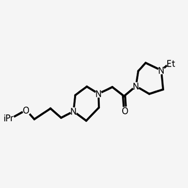 CCN1CCN(C(=O)CN2CCN(CCCOC(C)C)CC2)CC1